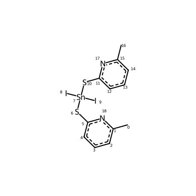 Cc1cccc([S][Sn]([I])([I])[S]c2cccc(C)n2)n1